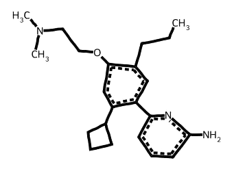 CCCc1cc(-c2cccc(N)n2)c(C2CCC2)cc1OCCN(C)C